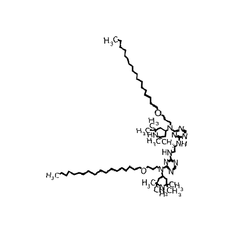 CCCCCCCCCCCCCCCCCCOCCCN(c1ncnc(NCCNc2ncnc(N(CCCOCCCCCCCCCCCCCCCCCC)C3CC(C)(C)NC(C)(C)C3)n2)n1)C1CC(C)(C)NC(C)(C)C1